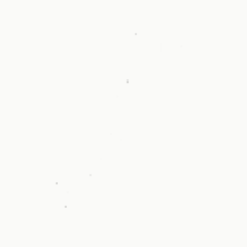 C=C(F)C(=O)Sc1ccc(SC(=O)c2ccc(OCCCN3C(=O)C=CC3O)cc2)cc1